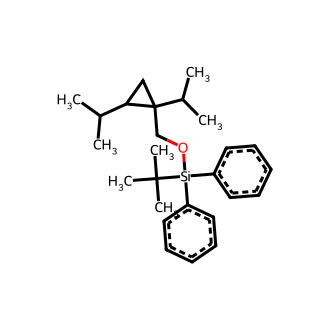 CC(C)C1CC1(CO[Si](c1ccccc1)(c1ccccc1)C(C)(C)C)C(C)C